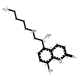 CCCCCNC[C@H](O)c1ccc(O)c2[nH]c(=O)ccc12